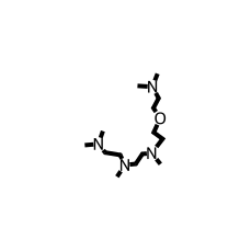 CN(C)CCOCCN(C)CCN(C)CCN(C)C